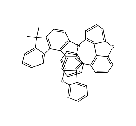 CC1(C)c2ccccc2-c2c1ccc1c2c2ccccc2n1-c1cccc2sc3cccc(-c4cccc5oc6ccccc6c45)c3c12